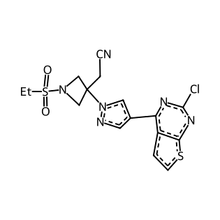 CCS(=O)(=O)N1CC(CC#N)(n2cc(-c3nc(Cl)nc4sccc34)cn2)C1